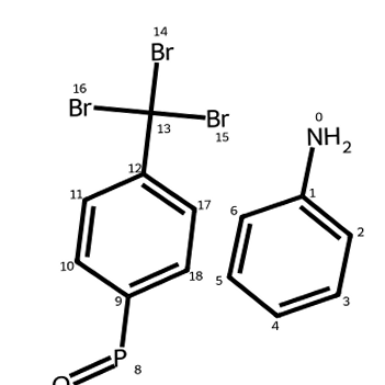 Nc1ccccc1.O=Pc1ccc(C(Br)(Br)Br)cc1